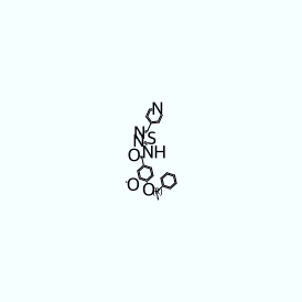 COc1cc(C(=O)Nc2nnc(-c3ccncc3)s2)ccc1O[C@H](C)c1ccccc1